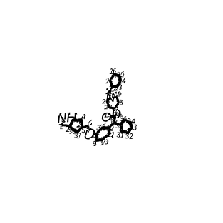 NCc1ccc(COc2cccc(C(C(=O)OC3CCN(Cc4ccccc4)CC3)c3ccccc3)c2)cc1